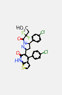 O=C(O)CC(F)(F)C(=O)N1N=C(c2c(-c3ccc(Cl)cc3)c3ccsc3[nH]c2=O)CC1c1ccc(Cl)cc1